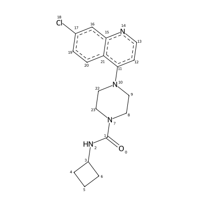 O=C(NC1CCC1)N1CCN(c2ccnc3cc(Cl)ccc23)CC1